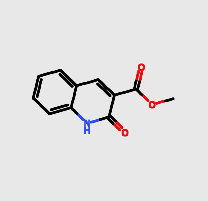 COC(=O)c1cc2ccccc2[nH]c1=O